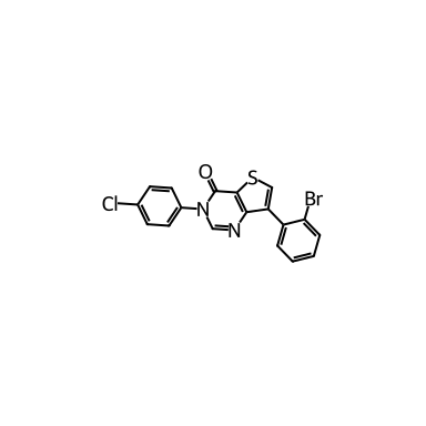 O=c1c2scc(-c3ccccc3Br)c2ncn1-c1ccc(Cl)cc1